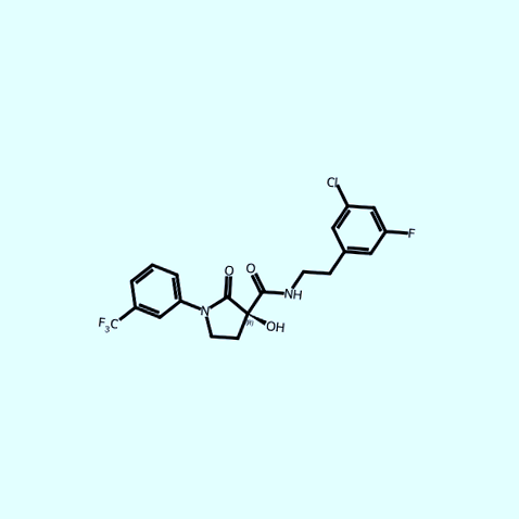 O=C(NCCc1cc(F)cc(Cl)c1)[C@]1(O)CCN(c2cccc(C(F)(F)F)c2)C1=O